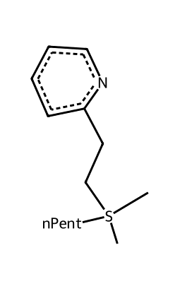 CCCCCS(C)(C)CCc1ccccn1